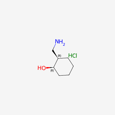 Cl.NC[C@H]1CCCC[C@H]1O